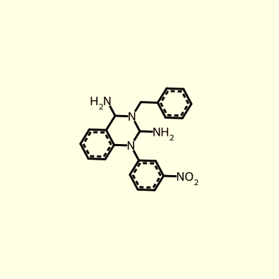 NC1c2ccccc2N(c2cccc([N+](=O)[O-])c2)C(N)N1Cc1ccccc1